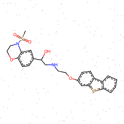 CS(=O)(=O)N1CCOc2ccc(C(O)CNCCOc3ccc4c(c3)sc3ccccc34)cc21